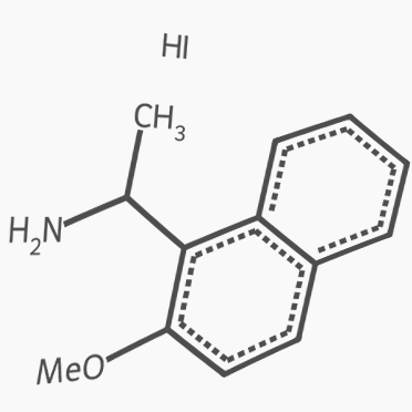 COc1ccc2ccccc2c1C(C)N.I